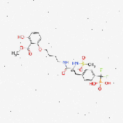 COC(=O)c1c(O)cccc1OCCCCNC(=O)[C@H](Cc1ccc(C(F)(F)P(=O)(O)O)cc1)NS(C)(=O)=O